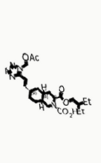 CCC(CC)COC(=O)[C@@H]1C[C@H]2C[C@@H](CCc3nnnn3COC(C)=O)CC[C@H]2CN1C(=O)O